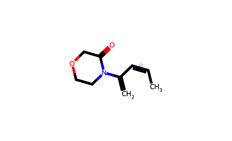 C=C(/C=C\C)N1CCOCC1=O